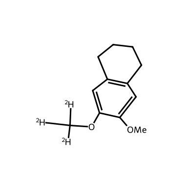 [2H]C([2H])([2H])Oc1cc2c(cc1OC)CCCC2